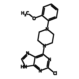 COc1ccccc1N1CCN(c2nc(Cl)nc3[nH]cnc23)CC1